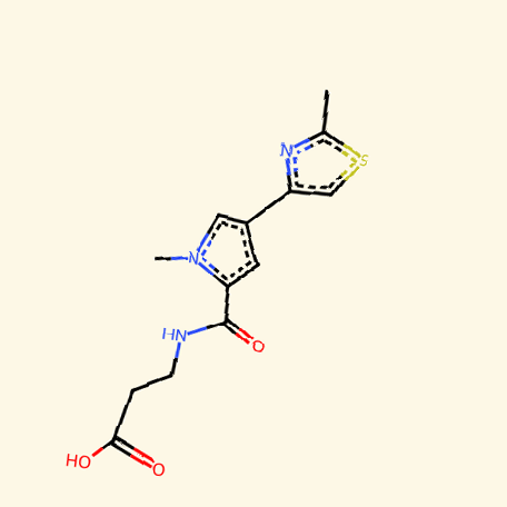 Cc1nc(-c2cc(C(=O)NCCC(=O)O)n(C)c2)cs1